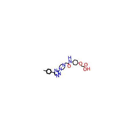 Cc1ccc(-c2cnnc(N3CCN(CC(=O)N[C@H]4CC[C@H](OCC(=O)O)CC4)CC3)n2)cc1